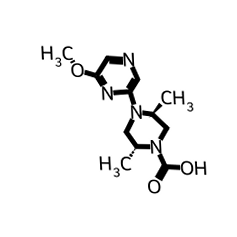 COc1cncc(N2C[C@@H](C)N(C(=O)O)C[C@@H]2C)n1